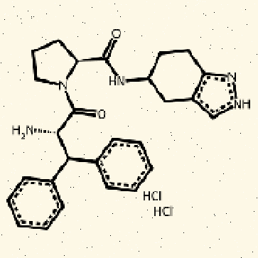 Cl.Cl.N[C@H](C(=O)N1CCC[C@H]1C(=O)NC1CCc2n[nH]cc2C1)C(c1ccccc1)c1ccccc1